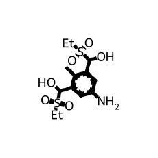 CCS(=O)(=O)C(O)c1cc(N)cc(C(O)S(=O)(=O)CC)c1C